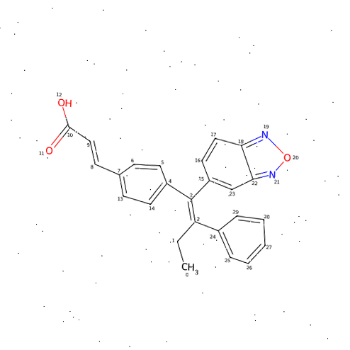 CCC(=C(c1ccc(C=CC(=O)O)cc1)c1ccc2nonc2c1)c1ccccc1